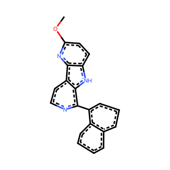 COc1ccc2[nH]c3c(-c4cccc5ccccc45)nccc3c2n1